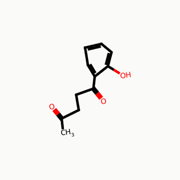 CC(=O)CCC(=O)c1ccccc1O